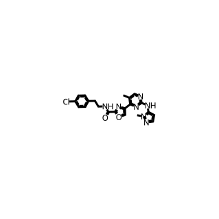 Cc1cnc(Nc2ccnn2C)nc1-c1coc(C(=O)NCCc2ccc(Cl)cc2)n1